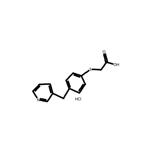 Cl.O=C(O)CSc1ccc(Cc2cccnc2)cc1